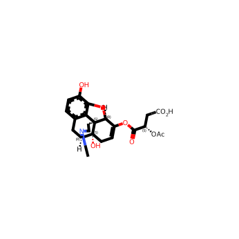 CC(=O)O[C@@H](CC(=O)O)C(=O)OC1=CC[C@@]2(O)[C@H]3Cc4ccc(O)c5c4[C@@]2(CCN3C)[C@H]1O5